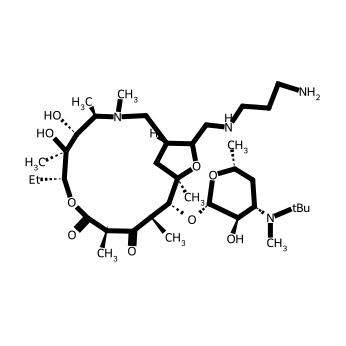 CC[C@H]1OC(=O)[C@H](C)C(=O)[C@H](C)[C@@H](O[C@@H]2O[C@H](C)C[C@H](N(C)C(C)(C)C)[C@H]2O)[C@@]2(C)C[C@H](CN(C)[C@H](C)[C@@H](O)[C@]1(C)O)C(CNCCCN)O2